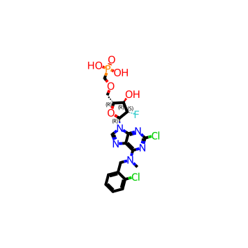 CN(Cc1ccccc1Cl)c1nc(Cl)nc2c1ncn2[C@@H]1O[C@H](COCP(=O)(O)O)[C@@H](O)[C@@H]1F